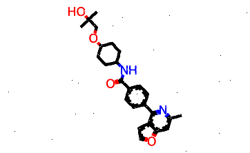 Cc1cc2occc2c(-c2ccc(C(=O)NC3CCC(OCC(C)(C)O)CC3)cc2)n1